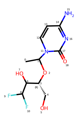 CC(O[C@H](CO)C(O)C(F)F)n1ccc(N)nc1=O